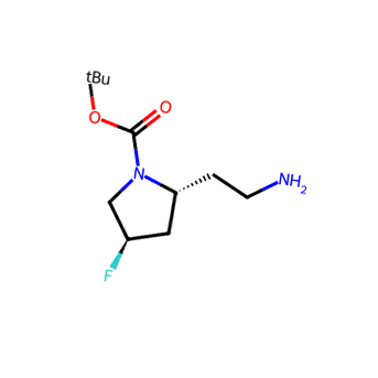 CC(C)(C)OC(=O)N1C[C@H](F)C[C@H]1CCN